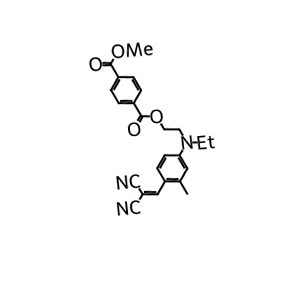 CCN(CCOC(=O)c1ccc(C(=O)OC)cc1)c1ccc(C=C(C#N)C#N)c(C)c1